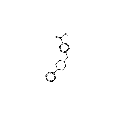 NC(=O)c1ccc(CC2CCC(c3ccccc3)CC2)cc1